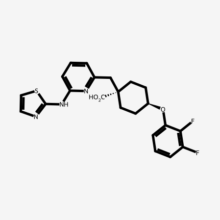 O=C(O)[C@]1(Cc2cccc(Nc3nccs3)n2)CC[C@@H](Oc2cccc(F)c2F)CC1